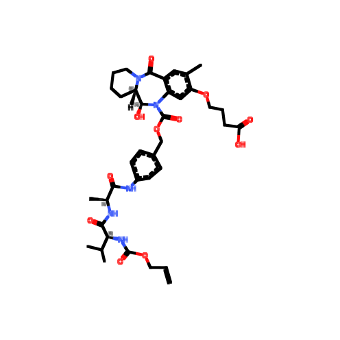 C=CCOC(=O)N[C@H](C(=O)N[C@@H](C)C(=O)Nc1ccc(COC(=O)N2c3cc(OCCCC(=O)O)c(C)cc3C(=O)N3CCCC[C@H]3[C@@H]2O)cc1)C(C)C